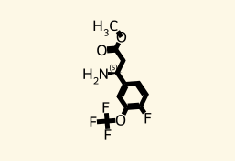 COC(=O)C[C@H](N)c1ccc(F)c(OC(F)(F)F)c1